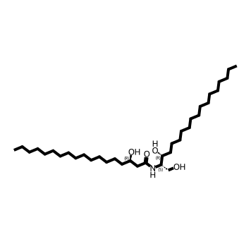 CCCCCCCCCCCCCCC[C@@H](O)CC(=O)N[C@@H](CO)[C@H](O)CCCCCCCCCCCCCCC